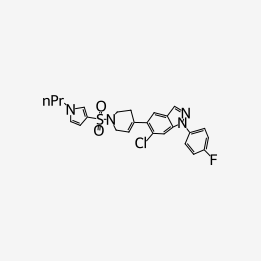 CCCn1ccc(S(=O)(=O)N2CC=C(c3cc4cnn(-c5ccc(F)cc5)c4cc3Cl)CC2)c1